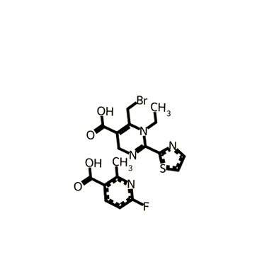 CCN1C(c2nccs2)=NCC(C(=O)O)=C1CBr.Cc1nc(F)ccc1C(=O)O